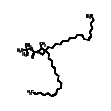 CCCCC/C=C\C/C=C\CCCCCCCCC1(CCCCCCCC/C=C\C/C=C\CCCCC)CN(C(=O)OC(C)(C)C)C1C